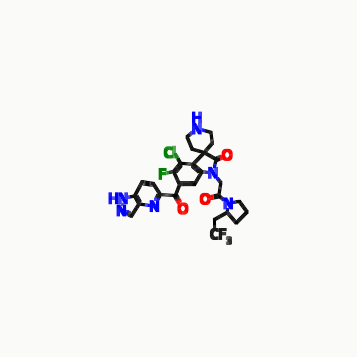 O=C(c1ccc2[nH]ncc2n1)c1cc2c(c(Cl)c1F)C1(CCNCC1)C(=O)N2CC(=O)N1CCCC1CC(F)(F)F